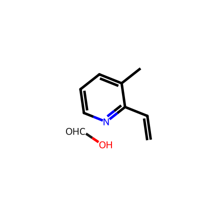 C=Cc1ncccc1C.O=CO